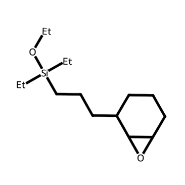 CCO[Si](CC)(CC)CCCC1CCCC2OC12